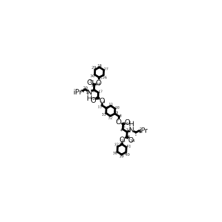 CC(C)CNC(CC(=O)OCC1CCC(COC(=O)CC(NCC(C)C)C(=O)OC2CCCCC2)CC1)C(=O)OC1CCCCC1